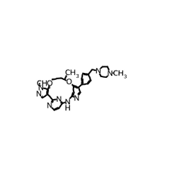 CC1CCOc2c(cnn2C)-c2nccc(n2)Nc2cc(c(-c3ccc(CN4CCN(C)CC4)cc3)cn2)O1